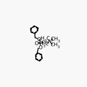 C[N+](C)(C)C.O=P([O-])(OCc1ccccc1)OCc1ccccc1